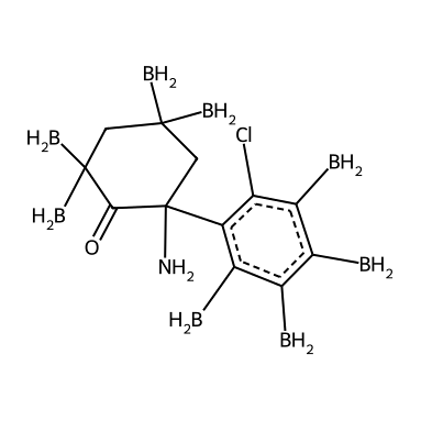 Bc1c(B)c(B)c(C2(N)CC(B)(B)CC(B)(B)C2=O)c(Cl)c1B